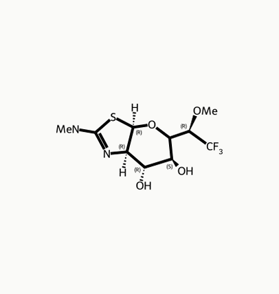 CNC1=N[C@@H]2[C@@H](O)[C@H](O)C([C@@H](OC)C(F)(F)F)O[C@@H]2S1